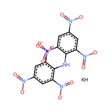 O=[N+]([O-])c1cc([N+](=O)[O-])c(Nc2c([N+](=O)[O-])cc([N+](=O)[O-])cc2[N+](=O)[O-])c([N+](=O)[O-])c1.[KH]